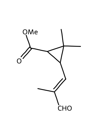 COC(=O)C1C(C=C(C)C=O)C1(C)C